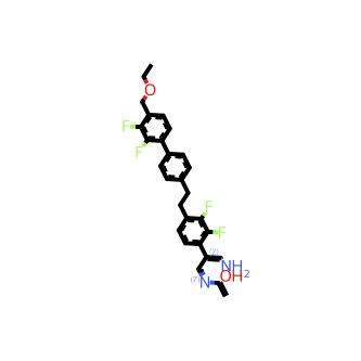 C=C(O)/N=C\C(=C/N)c1ccc(CCc2ccc(-c3ccc(COCC)c(F)c3F)cc2)c(F)c1F